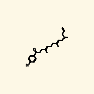 C=CCN(C)C/C=C(\C)CC/C=C(\C)CCC(=O)c1ccc(Br)cc1